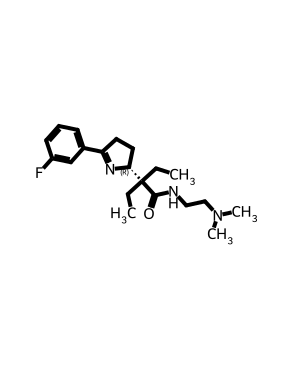 CCC(CC)(C(=O)NCCN(C)C)[C@H]1CCC(c2cccc(F)c2)=N1